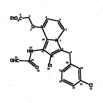 CCOC(=O)COc1cccn2c(Cc3cccc(Cl)c3)c(CC)c(NC(=O)C=O)c12